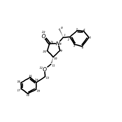 C[C@H](c1ccccc1)N1C[C@H](COCc2ccccc2)CC1=O